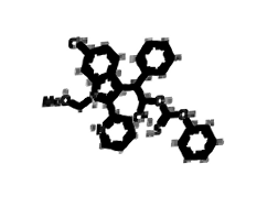 COCn1c(-c2ccccn2)c(C(c2ccccc2)C(OC(=S)Oc2ccccc2)C(F)(F)F)c2ccc(Cl)cc21